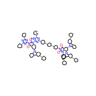 O=c1c2cc(-n3c4ccccc4c4cc(-c5ccccc5)ccc43)ccc2n(C2=NC(c3ccc(-c4ccc(-c5ccc(-n6c(=O)c7cc(-n8c9ccccc9c9cc(-c%10ccccc%10)ccc98)cc(-n8c9ccccc9c9cc(-c%10ccccc%10)ccc98)c7n(-c7ccc(-c8ccccc8)cc7)c6=O)cc5)cc4)cc3)=NC(c3ccccc3)N2)c(=O)n1-c1nc(-c2ccccc2)nc(-c2ccccc2)n1